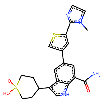 Cn1ccnc1-c1cc(-c2cc(C(N)=O)c3[nH]cc(C4CCS(O)(O)CC4)c3c2)cs1